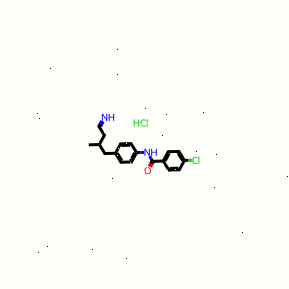 CC(CC=N)Cc1ccc(NC(=O)c2ccc(Cl)cc2)cc1.Cl